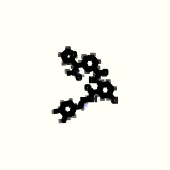 Cc1ccc(/C=N/NC(=O)c2cc(Cl)ccc2NC(=O)c2cccc(C(c3ccco3)[S+](C)[O-])c2)cc1C